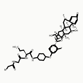 C[C@]12C=CC(=O)C=C1[C@@H](F)C[C@H]1[C@@H]3C[C@H]4O[C@@H](c5ccc(OC6CCC(NC(=O)[C@H](CCC(=O)O)NC(=O)CNC(=O)CBr)CC6)cc5F)O[C@@]4(C(=O)CO)[C@@]3(C)C[C@H](O)[C@@]12F